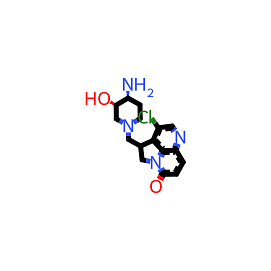 N[C@H]1CCN(CC2Cn3c(=O)ccc4ncc(Cl)c2c43)C[C@H]1O